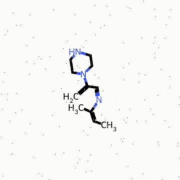 C=C(/C=N\C(C)=C/C)N1CCNCC1